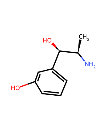 C[C@@H](N)[C@H](O)c1cccc(O)c1